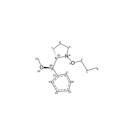 CCCON1CCC[C@H]1[C@H](OC)c1ccccc1